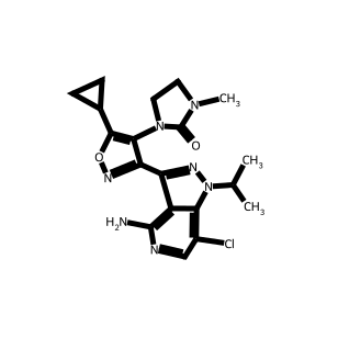 CC(C)n1nc(-c2noc(C3CC3)c2N2CCN(C)C2=O)c2c(N)ncc(Cl)c21